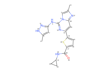 Cc1cn2c(Nc3cc(C)[nH]n3)nc(-c3ccc(C(=O)NC4CC4)s3)cc2n1